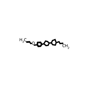 C=CCCC1CCC(C2CCC(c3ccc(COCC=CC)cc3)CC2)CC1